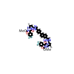 COC(=O)N[C@H](C(=O)N1[C@H](C)[C@H](C)C[C@H]1c1ncc(-c2ccc(-c3ccc4cc(-c5cnc([C@@H]6C[C@@H](C)[C@@H](C)N6C(=O)[C@@H](NC(=O)OC)C6CCC(F)(F)CC6)[nH]5)ccc4c3)cc2)[nH]1)C1CCC(F)(F)CC1